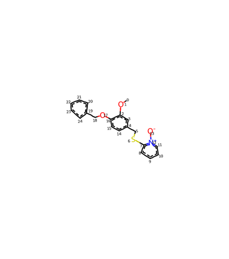 COc1cc(CSc2cccc[n+]2[O-])ccc1OCc1ccccc1